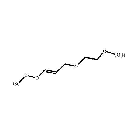 CC(C)(C)OOC=CCOCCOC(=O)O